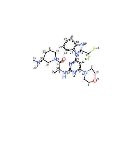 C[C@H](Nc1nc(N2CCOCC2)cc(-n2c(C(F)F)nc3ccccc32)n1)C(=O)N1CCCC(N(C)C)C1